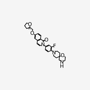 O=c1c2ccc(OC[C@H]3CCCO3)cc2ccn1-c1ccc(N2CCC3(CC2)CNCCO3)c(F)c1